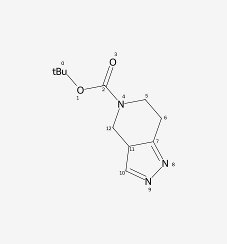 CC(C)(C)OC(=O)N1CCC2=NN=CC2C1